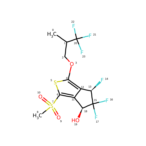 CC(COc1sc(S(C)(=O)=O)c2c1[C@@H](F)C(F)(F)[C@H]2O)C(F)(F)F